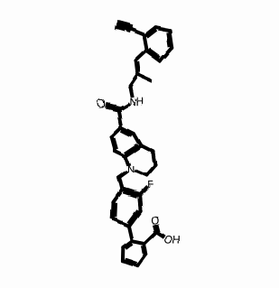 C#Cc1ccccc1/C=C(\C)CNC(=O)c1ccc2c(c1)CCCN2Cc1ccc(-c2ccccc2C(=O)O)cc1F